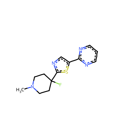 CN1CCC(F)(c2ncc(-c3ncccn3)s2)CC1